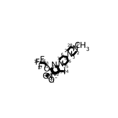 CN1CCN(C2CCN(c3nc(OCC(F)(F)F)c([N+](=O)[O-])cc3I)CC2)CC1